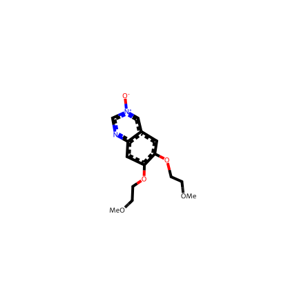 COCCOc1cc2c[n+]([O-])cnc2cc1OCCOC